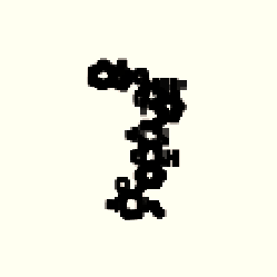 CCN1CCN(C)C(=O)C1c1ccc(Nc2nc(-c3ccc(F)c(NC(=O)Oc4cc5c(s4)CCCC5)c3F)cn(C)c2=O)cc1